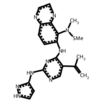 C=C(C)c1cnc(Nc2cc[nH]n2)nc1Nc1ccc2nccnc2c1N(C)SC